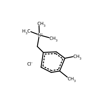 Cc1ccc(C[N+](C)(C)C)cc1C.[Cl-]